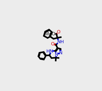 COC(=O)C(C)(CC1=CC=CCC1)NC(=O)c1cnn2c1NC(c1ccccc1)CC2(C)C